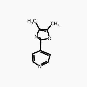 Cc1nc(-c2ccncc2)oc1C